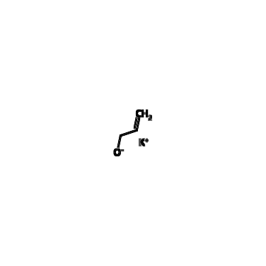 C=CC[O-].[K+]